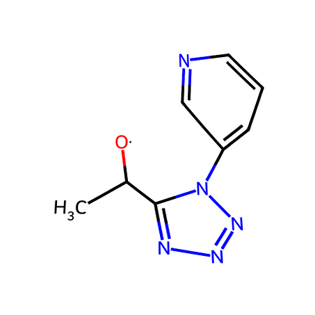 CC([O])c1nnnn1-c1cccnc1